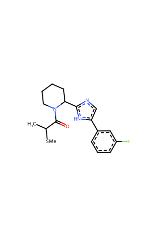 CSC(C)C(=O)N1CCCCC1c1ncc(-c2cccc(F)c2)[nH]1